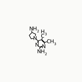 Cc1nc(N)nc(N2CCC(N)C2)c1C